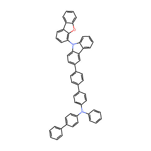 c1ccc(-c2ccc(N(c3ccccc3)c3ccc(-c4ccc(-c5ccc6c(c5)c5ccccc5n6-c5cccc6c5oc5ccccc56)cc4)cc3)cc2)cc1